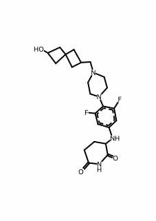 O=C1CCC(Nc2cc(F)c(N3CCN(CC4CC5(CC(O)C5)C4)CC3)c(F)c2)C(=O)N1